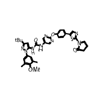 COc1c(C)cc(-n2nc(C(C)(C)C)cc2NC(=O)Nc2cnc(Oc3ccc(-c4cnc(N5CCCC5=O)s4)cc3)nc2)cc1C